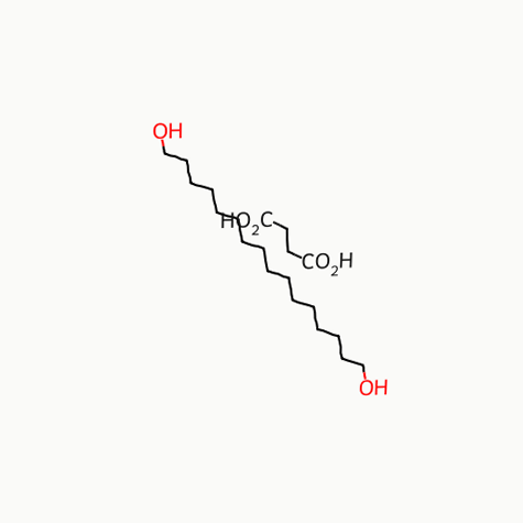 O=C(O)CCC(=O)O.OCCCCCCCCCCCCCCCCO